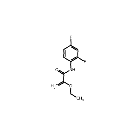 C=C(OCC)C(=O)Nc1ccc(F)cc1F